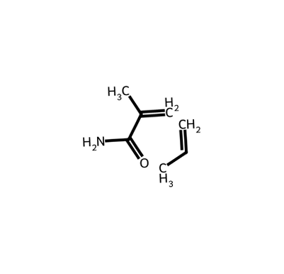 C=C(C)C(N)=O.C=CC